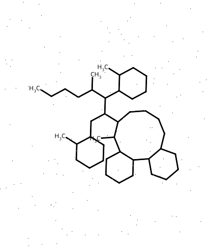 CCCCC(C)C(C1CCCCC1C)C(CC1CCCCC1C)C1CCCCC2CCCCC2C2CCCCC2C1C